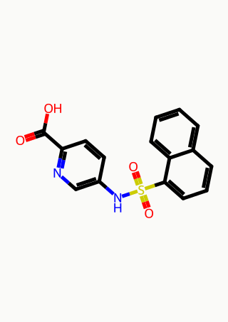 O=C(O)c1ccc(NS(=O)(=O)c2cccc3ccccc23)cn1